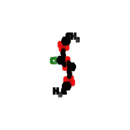 Cc1ccc(S(=O)(=O)OCCCc2cccc3c2OC2OC3Oc3c(CCCOS(=O)(=O)c4ccc(C)cc4)cc(Cl)cc32)cc1